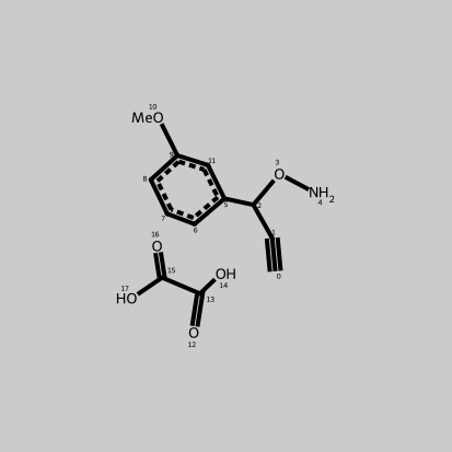 C#CC(ON)c1cccc(OC)c1.O=C(O)C(=O)O